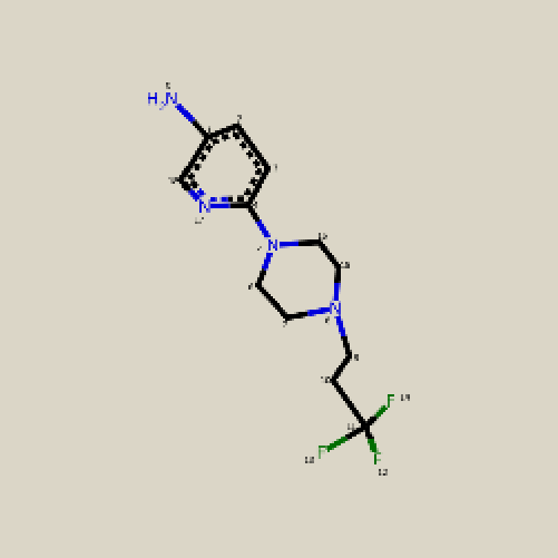 Nc1ccc(N2CCN(CCC(F)(F)F)CC2)nc1